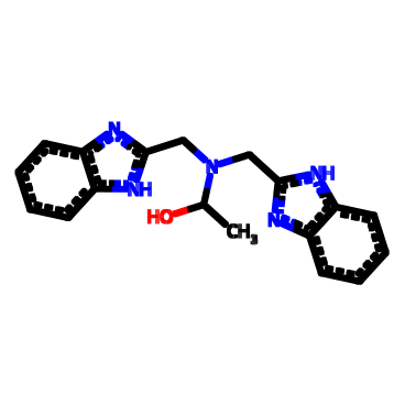 CC(O)N(Cc1nc2ccccc2[nH]1)Cc1nc2ccccc2[nH]1